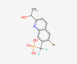 CC(O)c1ccc2cc(Br)c(C(F)(F)P(=O)(O)O)cc2n1